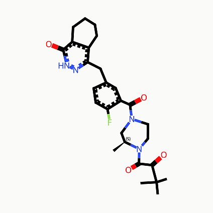 C[C@H]1CN(C(=O)c2cc(Cc3n[nH]c(=O)c4c3CCCC4)ccc2F)CCN1C(=O)C(=O)C(C)(C)C